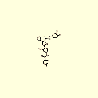 Cc1ccc(C(=O)Nc2ccc(-c3cc(C4CCCC4)n(C(=O)NCc4ccc(Cl)c(Cl)c4)n3)c(O)c2)cc1